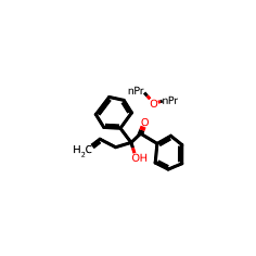 C=CCC(O)(C(=O)c1ccccc1)c1ccccc1.CCCOCCC